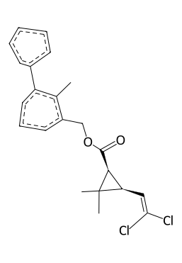 Cc1c(COC(=O)[C@H]2[C@@H](C=C(Cl)Cl)C2(C)C)cccc1-c1ccccc1